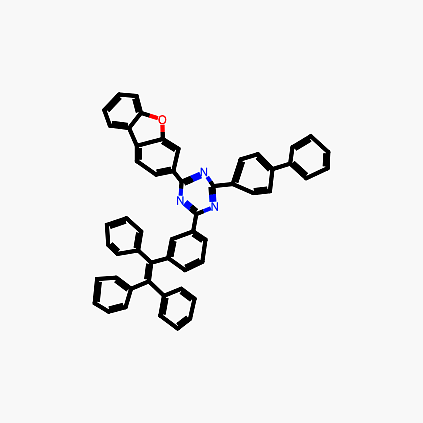 c1ccc(C(=C(c2ccccc2)c2cccc(-c3nc(-c4ccc(-c5ccccc5)cc4)nc(-c4ccc5c(c4)oc4ccccc45)n3)c2)c2ccccc2)cc1